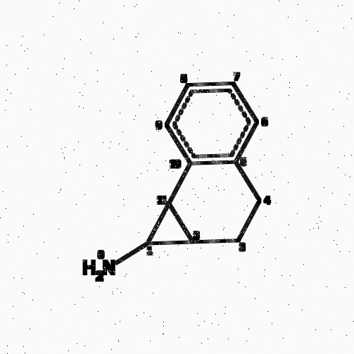 NC1C2CCc3ccccc3C12